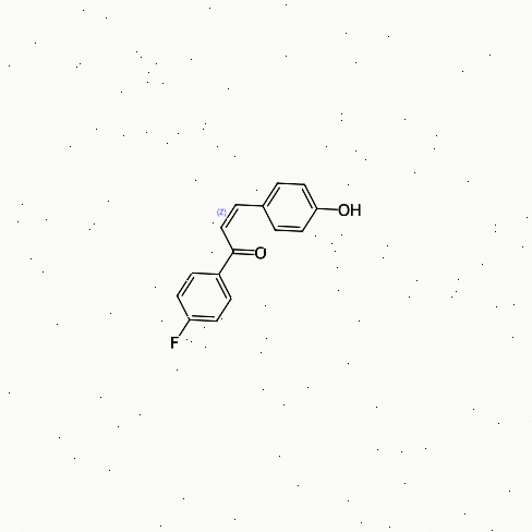 O=C(/C=C\c1ccc(O)cc1)c1ccc(F)cc1